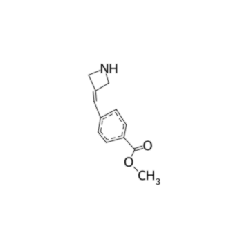 COC(=O)c1ccc(C=C2CNC2)cc1